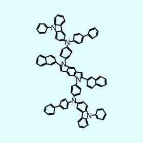 c1ccc(-c2ccc(N(c3ccc(-n4c(-c5ccc6ccccc6c5)cc5cc6c(cc(-c7ccc8ccccc8c7)n6-c6ccc(N(c7ccc(-c8ccccc8)cc7)c7ccc8c(c7)c7ccccc7n8-c7ccccc7)cc6)cc54)cc3)c3ccc4c(c3)c3ccccc3n4-c3ccccc3)cc2)cc1